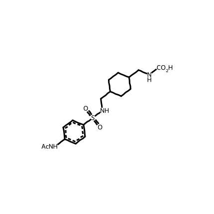 CC(=O)Nc1ccc(S(=O)(=O)NCC2CCC(CNC(=O)O)CC2)cc1